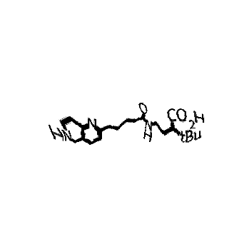 CC(C)(C)C(CCNC(=O)CCCCc1ccc2c(n1)CCNC2)C(=O)O